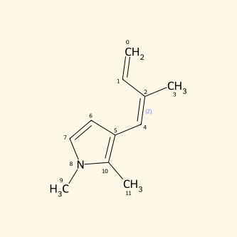 C=C/C(C)=C\c1ccn(C)c1C